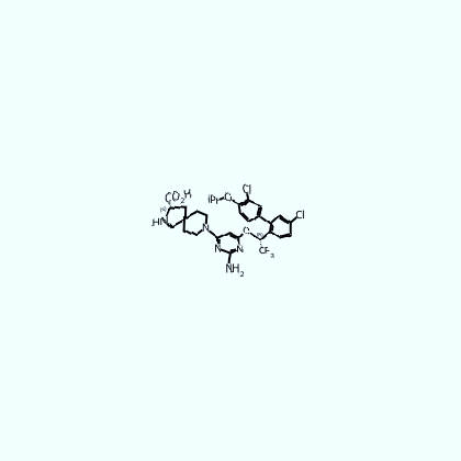 CC(C)Oc1ccc(-c2cc(Cl)ccc2[C@@H](Oc2cc(N3CCC4(CC3)CN[C@H](C(=O)O)C4)nc(N)n2)C(F)(F)F)cc1Cl